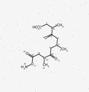 CN(CC(=O)N(C)CC(=O)O)CC(=O)N(C)CC(=O)ON